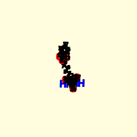 CCC1(CCCCCCOS(=O)(=O)c2ccc(C)cc2)C(=O)NC(=O)NC1=O